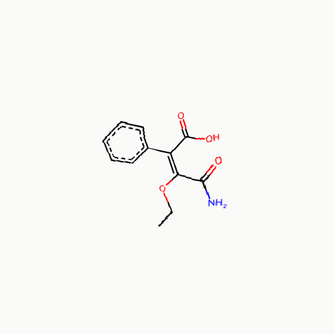 CCOC(C(N)=O)=C(C(=O)O)c1ccccc1